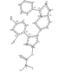 CN(C)C(=O)Cn1cc(-c2ccc3nnc(-c4ccccc4)n3c2)c(-c2ccc(F)cc2F)n1